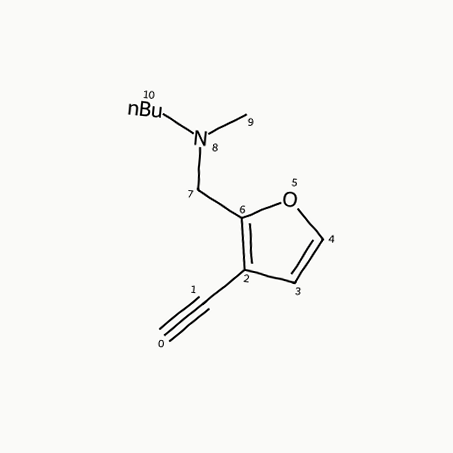 C#Cc1ccoc1CN(C)CCCC